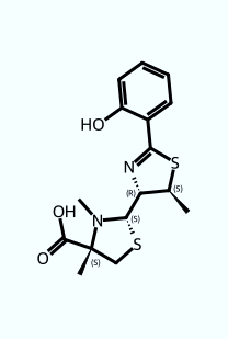 C[C@@H]1SC(c2ccccc2O)=N[C@H]1[C@@H]1SC[C@](C)(C(=O)O)N1C